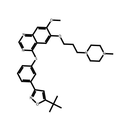 COc1cc2ncnc(Sc3cccc(-c4cc(C(C)(C)C)on4)c3)c2cc1OCCCN1CCN(C)CC1